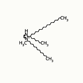 CCCCCCCCCCCCCCCCC(CCCCCC)c1[nH]cc[n+]1C(C)CCCCCCCCCCCC